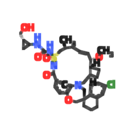 CO[C@H]1/C=C/C[C@H](C)C[S@@](=O)(NC(=O)N[C@H]2C[C@@H]2CO)=NC(=O)c2ccc3c(c2)N(C[C@@H]2CC[C@H]21)C[C@@]1(CCCc2cc(Cl)ccc21)CO3